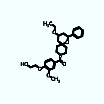 CCOC1CC(c2ccccc2)OC2(CCN(C(=O)c3ccc(OCCO)c(OC)c3)CC2)C1